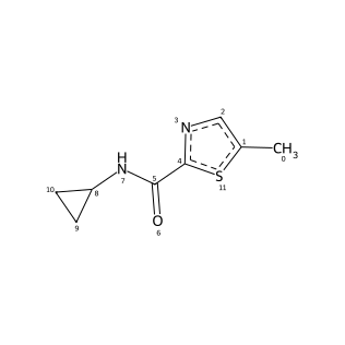 Cc1cnc(C(=O)NC2CC2)s1